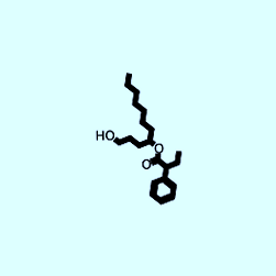 CCCCCCCC(CCCO)OC(=O)C(CC)c1ccccc1